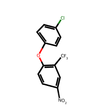 O=[N+]([O-])c1ccc(Oc2ccc(Cl)cc2)c(C(F)(F)F)c1